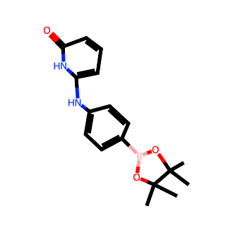 CC1(C)OB(c2ccc(Nc3cccc(=O)[nH]3)cc2)OC1(C)C